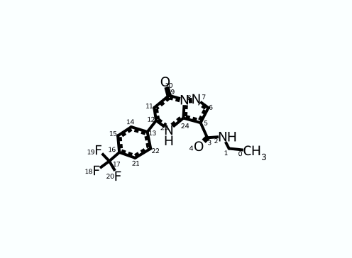 CCNC(=O)c1cnn2c(=O)cc(-c3ccc(C(F)(F)F)cc3)[nH]c12